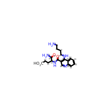 NCCCCNc1c(C(=O)NC(CCC(=O)O)C(N)=O)cnc2ccccc12